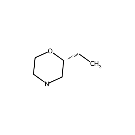 CC[C@@H]1C[N]CCO1